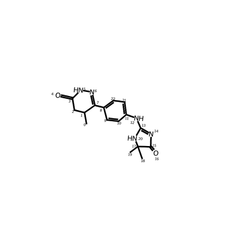 CC1CC(=O)NN=C1c1ccc(NC2=NC(=O)C(C)(C)N2)cc1